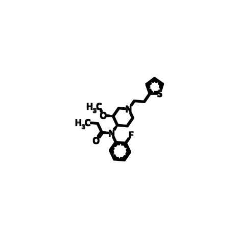 CCC(=O)N(c1ccccc1F)[C@@H]1CCN(CCc2cccs2)C[C@@H]1OC